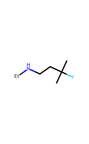 CCNCCC(C)(C)F